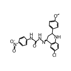 COc1ccc(C2CC(=NNC(=O)Nc3ccc([N+](=O)[O-])cc3)c3cc(Cl)ccc3N2)cc1